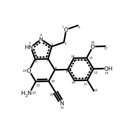 COCc1n[nH]c2c1C(c1cc(C)c(O)c(OC)c1)C(C#N)=C(N)O2